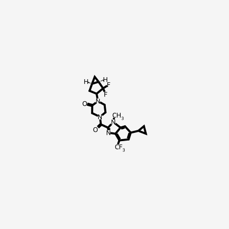 Cn1c(C(=O)N2CCN(C3C[C@H]4C[C@H]4C3(F)F)C(=O)C2)nc2c(C(F)(F)F)cc(C3CC3)cc21